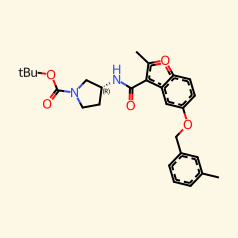 Cc1cccc(COc2ccc3oc(C)c(C(=O)N[C@@H]4CCN(C(=O)OC(C)(C)C)C4)c3c2)c1